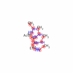 C=CC(=O)OCCCCCOC(=O)NCCCCNC(=O)OCC(CC)(CC)CCOC(=O)OCCC(CC)(CCOC(=O)OCCC(CC)(CCOC(=O)OCCC(CC)(CCOC(C)=O)COC(=O)NCCCCNC(=O)OCCCCCOC(=O)C=C)COC(=O)NCCCCNC(=O)OCCCCCOC(=O)C=C)COC(=O)NCCCCNC(=O)OCCCCCOC(=O)C=C